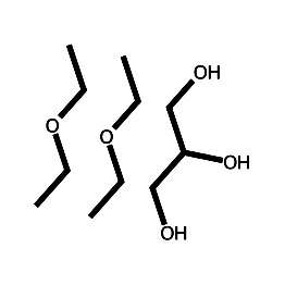 CCOCC.CCOCC.OCC(O)CO